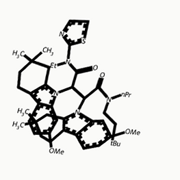 CCCN(CCC(C)(C)C)C(=O)C(C(C(=O)N(CC)c1nccs1)n1c2c(c3ccc(OC)cc31)CCC(C)(C)C2)n1c2c(c3ccc(OC)cc31)CCC(C)(C)C2